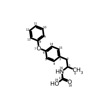 CC(Cc1ccc(Oc2ccccc2)cc1)NC(=O)O